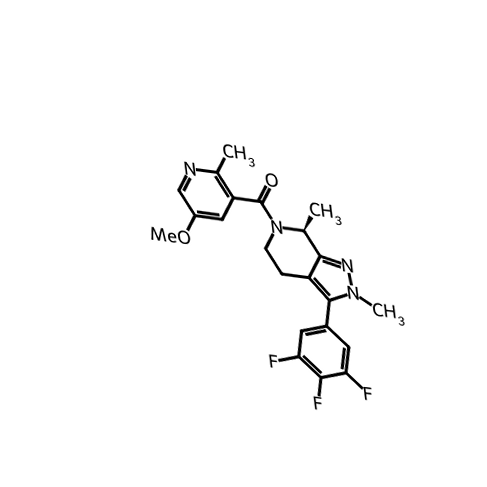 COc1cnc(C)c(C(=O)N2CCc3c(nn(C)c3-c3cc(F)c(F)c(F)c3)[C@@H]2C)c1